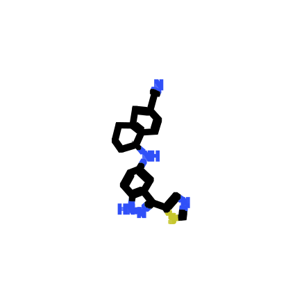 N#Cc1ccc2c(c1)CCC[C@@H]2Nc1ccc2[nH]nc(-c3cncs3)c2c1